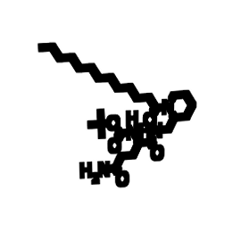 CCCCCCCCCCCCC(=O)N1CCCCC1CNC(=O)C(CCC(N)=O)NC(=O)OC(C)(C)C